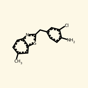 Cc1ccc2nc(Cc3ccc(N)c(Cl)c3)sc2c1